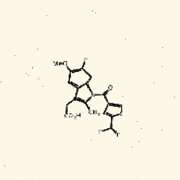 COC1=C(F)CC2C(=C1)C(CC(=O)O)=C(C)N2C(=O)c1csc(C(F)F)c1